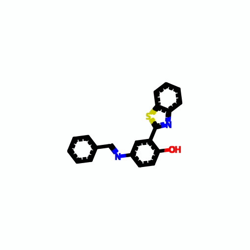 Oc1ccc(N=Cc2ccccc2)cc1-c1nc2ccccc2s1